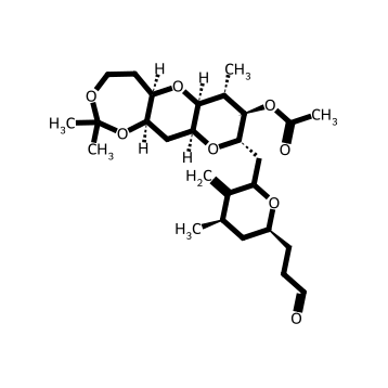 C=C1C(C[C@@H]2O[C@H]3C[C@H]4OC(C)(C)OCC[C@H]4O[C@H]3[C@H](C)[C@H]2OC(C)=O)O[C@@H](CCC=O)C[C@H]1C